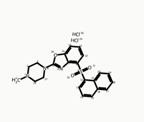 CN1CCN(c2nc3c(S(=O)(=O)c4cccc5ccccc45)cccc3o2)CC1.Cl.Cl